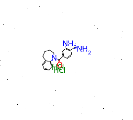 Cl.Cl.NCc1ccc(C(=O)N2CCCCc3ccccc32)cc1N